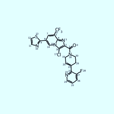 O=C(c1nc2c(C(F)(F)F)cc(-c3nccs3)cn2c1Cl)N1CC=C(c2ncccc2F)CC1